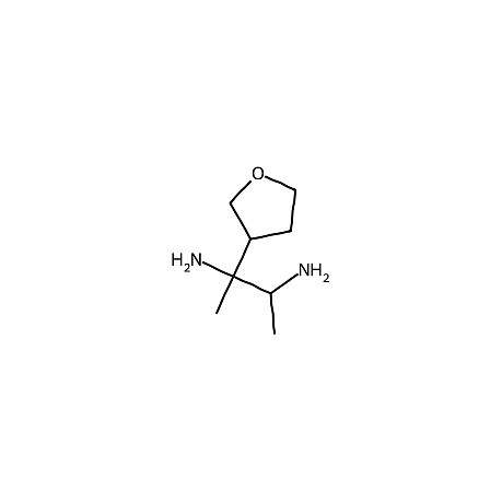 CC(N)C(C)(N)C1CCOC1